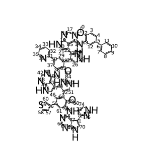 COc1ccc(-c2ccccc2)cc1Nc1ncnc2[nH]cc(-c3n[nH]cc3-c3cc(-c4ccccn4)cc(Nc4ncnc5[nH]cc(-c6n[nH]cc6-c6cc(-c7ccsc7)cc(Nc7ncnc8[nH]cc(-c9cc[nH]n9)c78)c6OC)c45)c3OC)c12